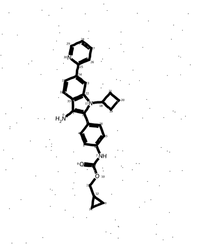 Nc1c(-c2ccc(NC(=O)OCC3CC3)cc2)n(C2CCC2)c2cc(-c3ccccn3)ccc12